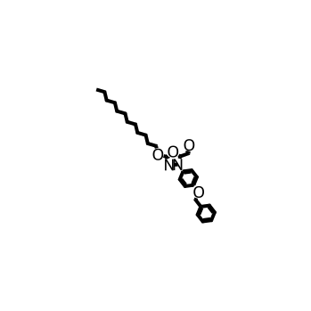 CCCCCCCCCCCCOC1=NN(c2ccc(OCc3ccccc3)cc2)C(C=O)O1